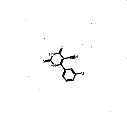 N#Cc1c(-c2cccc(Cl)c2)[nH]c(=S)[nH]c1=O